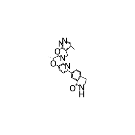 Cc1cnnc(C)c1CN1C(=O)[C@@H](C)Oc2ccc(-c3ccc4c(c3)C(=O)NCC4)nc21